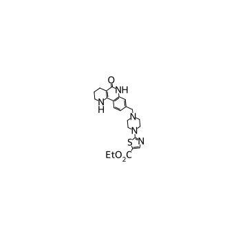 CCOC(=O)c1cnc(N2CCN(Cc3ccc4c5c(c(=O)[nH]c4c3)CCCN5)CC2)s1